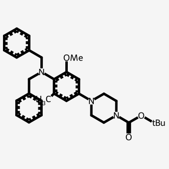 COc1cc(N2CCN(C(=O)OC(C)(C)C)CC2)cc(C)c1N(Cc1ccccc1)Cc1ccccc1